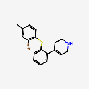 Cc1ccc(Sc2ccccc2C2=CCNCC2)c(Br)c1